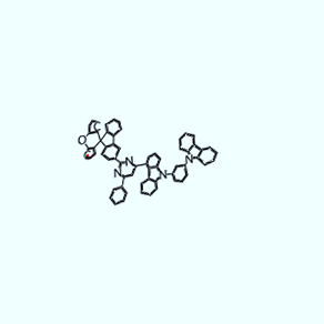 c1ccc(-c2cc(-c3cccc4c3c3ccccc3n4-c3cccc(-n4c5ccccc5c5ccccc54)c3)nc(-c3ccc4c(c3)-c3ccccc3C43c4ccccc4Oc4ccccc43)n2)cc1